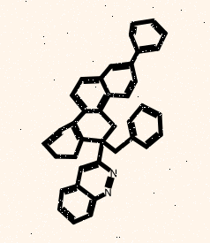 C1=CC2=C(CC1)C(Cc1ccccc1)(c1cc3ccccc3nn1)Cc1c2ccc2cc(-c3ccccc3)ccc12